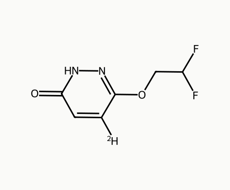 [2H]c1cc(=O)[nH]nc1OCC(F)F